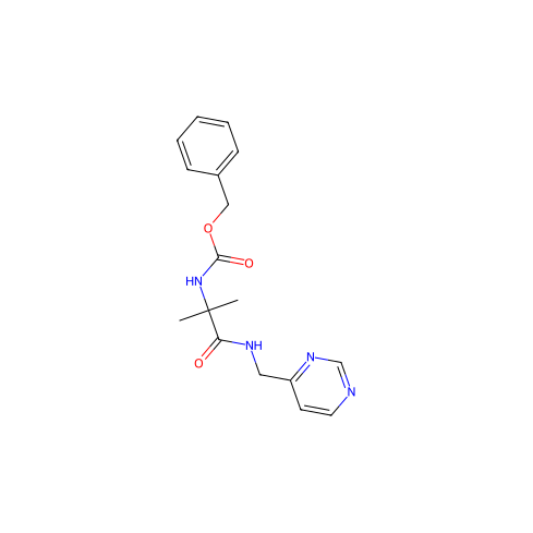 CC(C)(NC(=O)OCc1ccccc1)C(=O)NCc1ccncn1